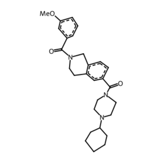 COc1cccc(C(=O)N2CCc3cc(C(=O)N4CCN(C5CCCCC5)CC4)ccc3C2)c1